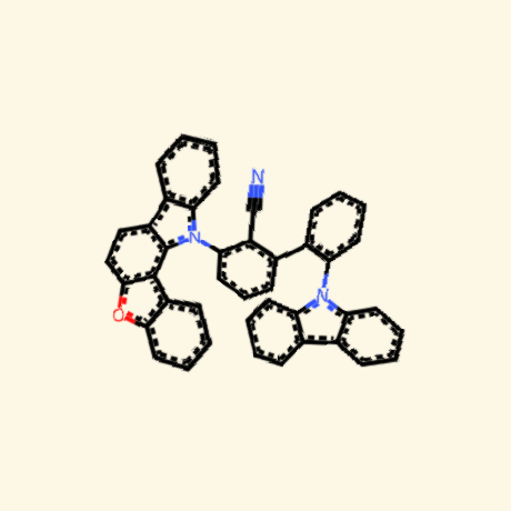 N#Cc1c(-c2ccccc2-n2c3ccccc3c3ccccc32)cccc1-n1c2ccccc2c2ccc3oc4ccccc4c3c21